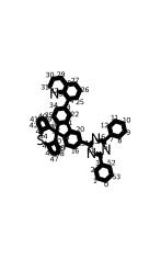 c1ccc(-c2nc(-c3ccccc3)nc(-c3ccc4c(c3)-c3cc(-c5cccc6cccnc56)ccc3C43c4ccccc4Sc4ccccc43)n2)cc1